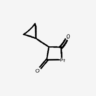 O=[C]1[Pt][C](=O)C1C1CC1